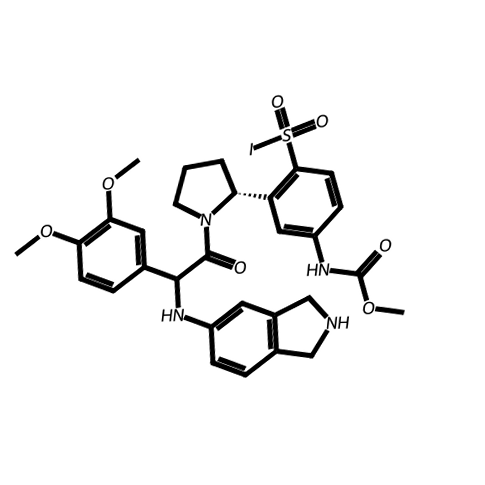 COC(=O)Nc1ccc(S(=O)(=O)I)c([C@H]2CCCN2C(=O)C(Nc2ccc3c(c2)CNC3)c2ccc(OC)c(OC)c2)c1